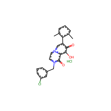 Cc1cccc(C)c1-c1cn2ccn(Cc3cccc(Cl)c3)c(=O)c2c(O)c1=O.Cl